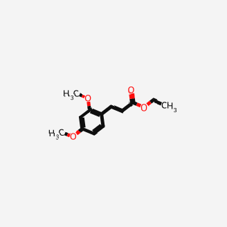 CCOC(=O)CCc1ccc(OC)cc1OC